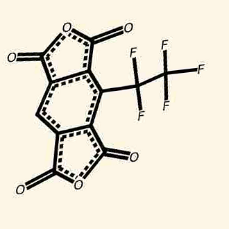 O=c1oc(=O)c2c(C(F)(F)C(F)(F)F)c3c(=O)oc(=O)c3cc12